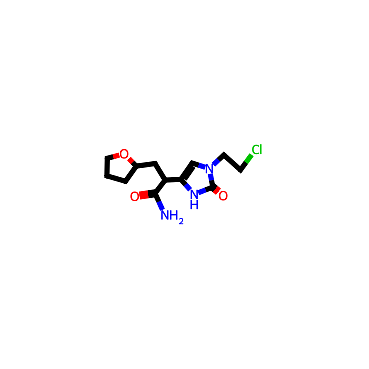 NC(=O)C(CC1CCCO1)c1cn(CCCl)c(=O)[nH]1